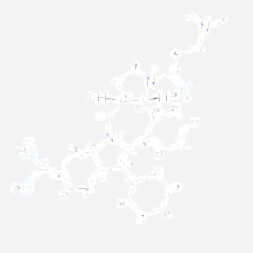 CN(C)CCC(=O)N1CC[C@H]2Cn3c(c(C4CCCCC4)c4ccc(C(=O)O)cc43)-c3ccccc3[C@H]21